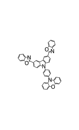 c1ccc2c(c1)Oc1ccccc1N2c1ccc(-n2c3ccc(-c4nc5ccccc5o4)cc3c3cc(-c4nc5ccccc5o4)ccc32)cc1